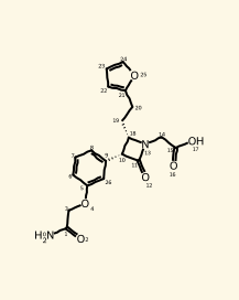 NC(=O)COc1cccc([C@H]2C(=O)N(CC(=O)O)[C@H]2CCc2ccco2)c1